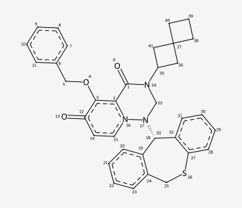 O=C1c2c(OCc3ccccc3)c(=O)ccn2N([C@H]2c3ccccc3CSc3ccccc32)CN1C1CC2(CCC2)C1